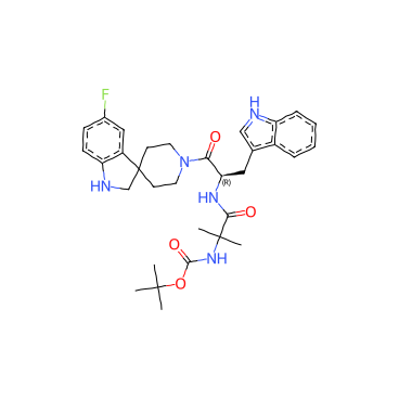 CC(C)(C)OC(=O)NC(C)(C)C(=O)N[C@H](Cc1c[nH]c2ccccc12)C(=O)N1CCC2(CC1)CNc1ccc(F)cc12